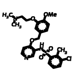 COc1ccc(COc2ccncc2NS(=O)(=O)c2cccc(Cl)c2C)cc1OCCN(C)C